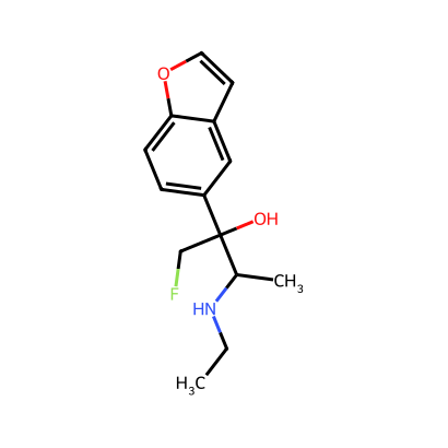 CCNC(C)C(O)(CF)c1ccc2occc2c1